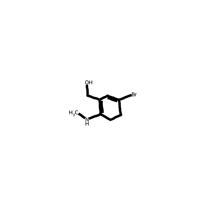 CNC1=C(CO)C=C(Br)CC1